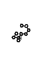 C1=CC(c2ccccc2)CC(c2cccc(-c3cccc(-c4cccc(-c5cc(-c6ccccc6-c6ccccc6)c6ccccc6n5)c4)c3)c2)=C1